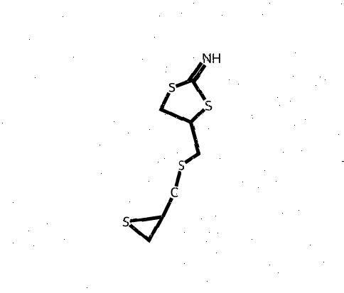 N=C1SCC(CSCC2CS2)S1